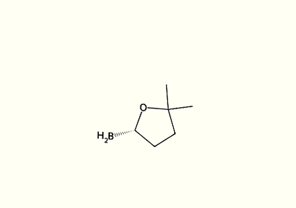 B[C@H]1CCC(C)(C)O1